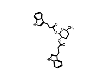 C[C@H]1CC[C@H](OC(=O)CCc2c[nH]c3ccccc23)[C@H](OC(=O)CCc2c[nH]c3ccccc23)O1